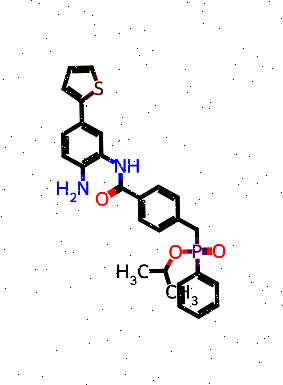 CC(C)OP(=O)(Cc1ccc(C(=O)Nc2cc(-c3cccs3)ccc2N)cc1)c1ccccc1